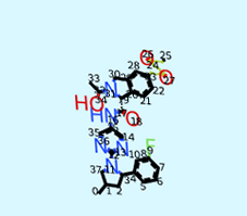 CC1CC(c2cccc(F)c2)N(c2ncc(NC(=O)[C@H]3c4ccc(S(C)(=O)=O)cc4CN3C(C)O)cn2)C1